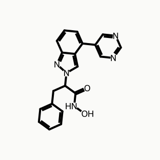 O=C(NO)C(Cc1ccccc1)n1cc2c(-c3cncnc3)cccc2n1